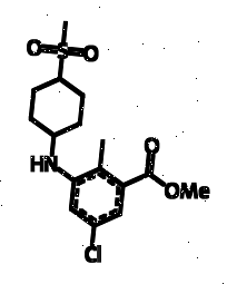 COC(=O)c1cc(Cl)cc(NC2CCC(S(C)(=O)=O)CC2)c1C